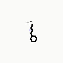 [CH]=C/C=C/CC1CCCCC1